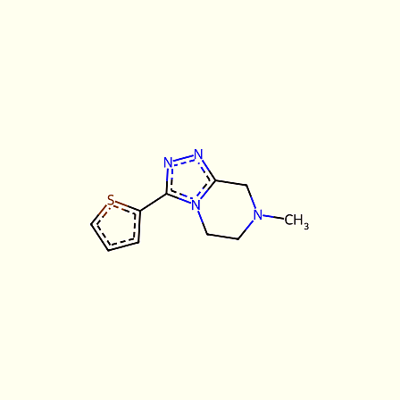 CN1CCn2c(nnc2-c2cccs2)C1